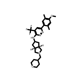 COc1cc(C)c(-c2cc(C(F)(F)F)c(NC3C[C@@H]4CN(CC5CCOCC5)C[C@@H]4C3)nn2)cc1C